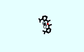 CC(C)c1cccc(C(C)C)c1[O][W][O]c1c(C(C)C)cccc1C(C)C